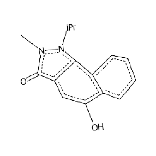 CC(C)n1c2c(cc(O)c3ccccc32)c(=O)n1C